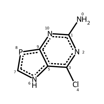 Nc1nc(Cl)c2[nH]cpc2n1